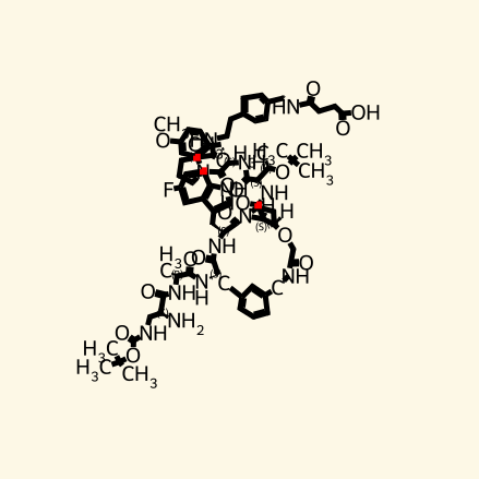 COc1ccc(C[C@H](NC(=O)[C@@H](NC(O)[C@@H]2[C@@H]3CCN2C(=O)[C@H](Cc2c[nH]c4ccc(F)cc24)NC(=O)[C@@H](NC(=O)[C@@H](C)NC(=O)[C@@H](N)CNC(=O)OC(C)(C)C)Cc2cccc(c2)CNC(=O)CO3)[C@@H](C)OC(C)(C)C)C(=O)N2CCC[C@@]2(C)C(=O)NCCc2ccc(CNC(=O)CCC(=O)O)cc2)cc1